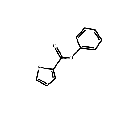 O=C(Oc1cc[c]cc1)c1cccs1